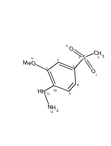 COc1cc(S(C)(=O)=O)ccc1NN